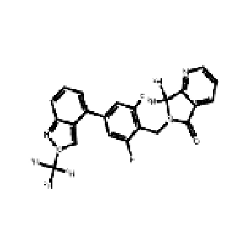 [2H]C1([2H])c2ncccc2C(=O)N1Cc1c(F)cc(-c2cccc3nn(C([2H])([2H])[2H])cc23)cc1F